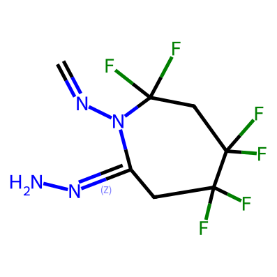 C=NN1/C(=N\N)CC(F)(F)C(F)(F)CC1(F)F